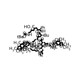 CCC(C)[C@@H](CC(=O)[C@@H](CCCNC(=N)CS(=O)(=O)c1c(C)c(C)c2c(c1C)OC(C)(C)C2)NC(=O)[C@@H](CCCNC(=N)NS(=O)(=O)c1c(C)c(C)c2c(c1C)OC(C)(C)C2)CC(=O)[C@@H](Cc1cnnn1CCCCC(N)C(=O)O)NC(=O)OC(C)(C)C)C(=O)N[C@@H](C(=O)C[C@H](CCCCNC(=O)OC(C)(C)C)C(=O)O)C(C)C